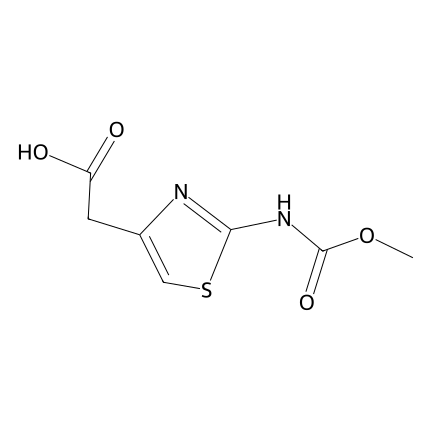 COC(=O)Nc1nc(CC(=O)O)cs1